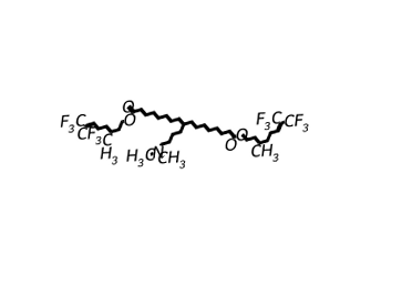 CC(CCC=C(C(F)(F)F)C(F)(F)F)CCOC(=O)CCCCCCCC(CCCCCCCC(=O)OCCC(C)CCC=C(C(F)(F)F)C(F)(F)F)CCCCN(C)C